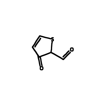 O=CC1SC=CC1=O